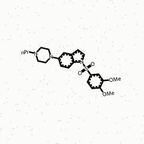 CCCN1CCN(c2ccc3c(ccn3S(=O)(=O)c3ccc(OC)c(OC)c3)c2)CC1